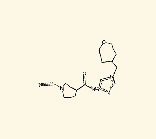 N#CN1CCC(C(=O)Nc2cn(CC3CCOCC3)cn2)C1